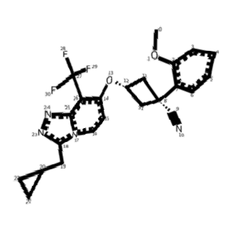 COc1ccccc1[C@]1(C#N)C[C@@H](Oc2ccn3c(CC4CC4)nnc3c2C(F)(F)F)C1